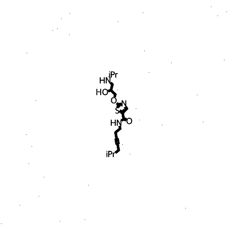 CC(C)CC#CCCNC(=O)c1cnc(OCC(O)CNC(C)C)s1